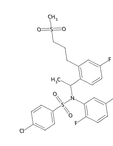 CC(c1ccc(F)cc1CCCS(C)(=O)=O)N(c1cc(F)ccc1F)S(=O)(=O)c1ccc(Cl)cc1